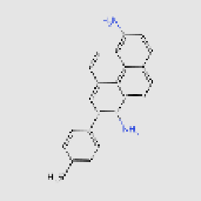 Nc1ccc2ccc3c(N)c(-c4ccc([SiH3])cc4)cc4ccc1c2c43